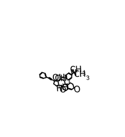 CN(C)c1ccc([C@H]2C[C@@]3(C)[C@@H](CC[C@@]3(O)C#Cc3ccccc3)[C@@H]3OCC4=CC(=O)CCC4=C32)cc1